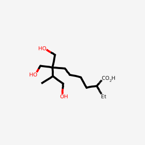 CCC(CCCCC(CO)(CO)C(C)CO)C(=O)O